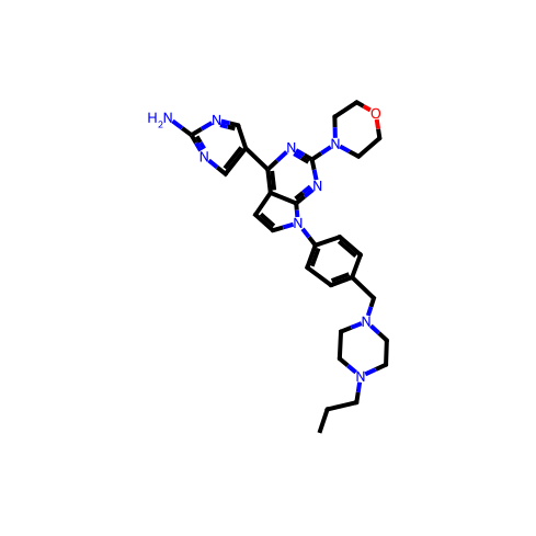 CCCN1CCN(Cc2ccc(-n3ccc4c(-c5cnc(N)nc5)nc(N5CCOCC5)nc43)cc2)CC1